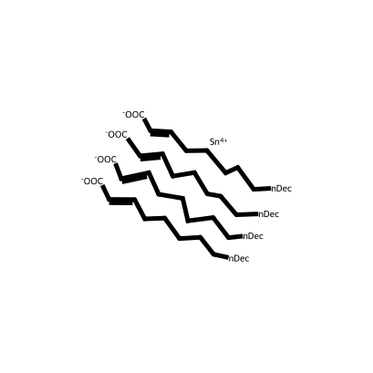 CCCCCCCCCCCCCCCC=CC(=O)[O-].CCCCCCCCCCCCCCCC=CC(=O)[O-].CCCCCCCCCCCCCCCC=CC(=O)[O-].CCCCCCCCCCCCCCCC=CC(=O)[O-].[Sn+4]